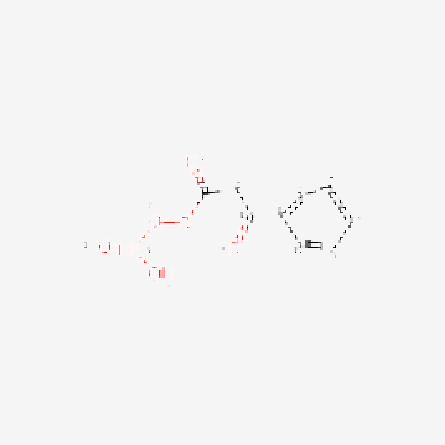 O=C(CC(=O)c1ccccc1)OO[PH](=O)O